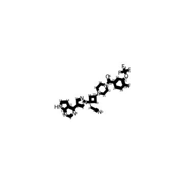 N#CC[C@]1(n2cc(-c3ncnc4[nH]ccc34)cn2)C[C@@H](N2CCN(C(=O)c3ccc(F)c(OC(F)(F)F)c3)CC2)C1